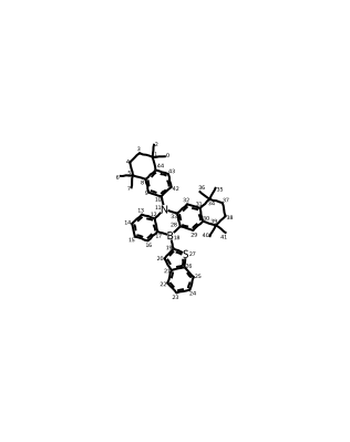 CC1(C)CCC(C)(C)c2cc(N3c4ccccc4B(c4cc5ccccc5s4)c4cc5c(cc43)C(C)(C)CCC5(C)C)ccc21